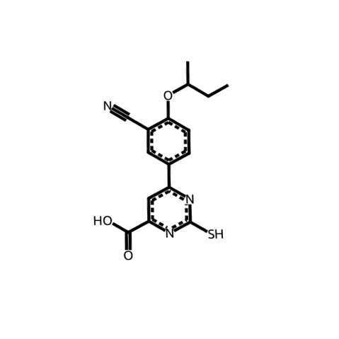 CCC(C)Oc1ccc(-c2cc(C(=O)O)nc(S)n2)cc1C#N